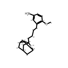 Bc1ccc(OC)c(CCCCC23CC4CC(CC(C4)C2)C3)c1